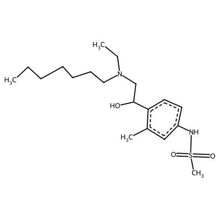 CCCCCCCN(CC)CC(O)c1ccc(NS(C)(=O)=O)cc1C